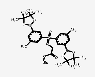 CC(C)(C)OC(=O)CN=S(=O)(c1cc(B2OC(C)(C)C(C)(C)O2)cc(C(F)(F)F)c1)c1cc(B2OC(C)(C)C(C)(C)O2)cc(C(F)(F)F)c1